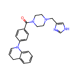 O=C(c1ccc(N2C=CCc3ccccc32)cc1)N1CCN(Cc2c[nH]cn2)CC1